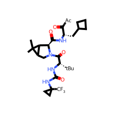 CC(=O)C(=O)[C@H](CC1CCC1)NC(=O)[C@@H]1C2C(CN1C(=O)[C@@H](NC(=O)NC1(C(F)(F)F)CC1)C(C)(C)C)C2(C)C